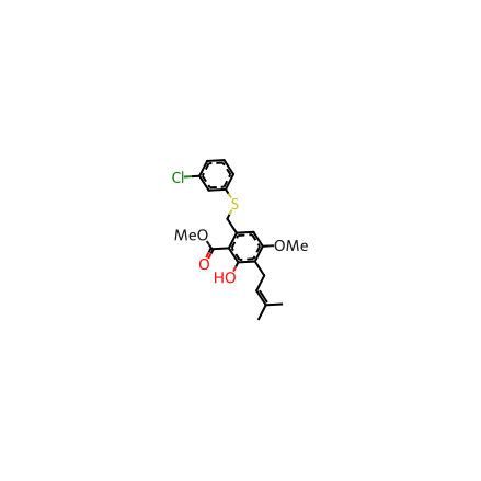 COC(=O)c1c(CSc2cccc(Cl)c2)cc(OC)c(CC=C(C)C)c1O